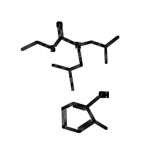 CCSC(=O)N(CC(C)C)CC(C)C.Cc1ccccc1O